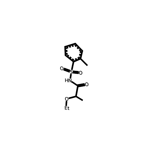 CCOC(C)C(=O)NS(=O)(=O)c1ccccc1C